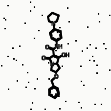 O=C(Nc1ccc(N2CCCCC2)cc1)C1=C(O)C2C[C@@H](OCc3ccccc3)CN2C1=O